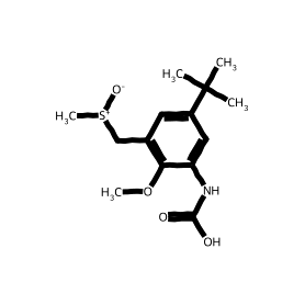 COc1c(C[S+](C)[O-])cc(C(C)(C)C)cc1NC(=O)O